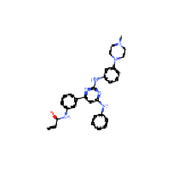 C=CC(=O)Nc1cccc(-c2cc(Nc3ccccc3)nc(Nc3cccc(N4CCN(C)CC4)c3)n2)c1